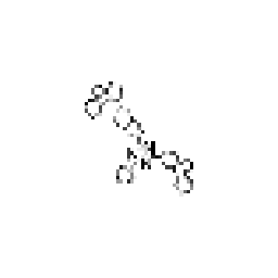 C1=CC(c2cccc3oc4ccccc4c23)Cc2ccc(-c3nc(-c4ccccc4)nc(-c4ccc5oc6ccccc6c5c4)n3)cc21